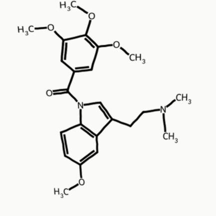 COc1ccc2c(c1)c(CCN(C)C)cn2C(=O)c1cc(OC)c(OC)c(OC)c1